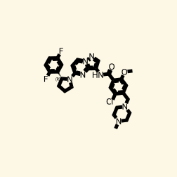 COc1cc(CN2CCN(C)CC2)c(Cl)cc1C(=O)Nc1cnn2ccc(N3CCC[C@@H]3c3cc(F)ccc3F)nc12